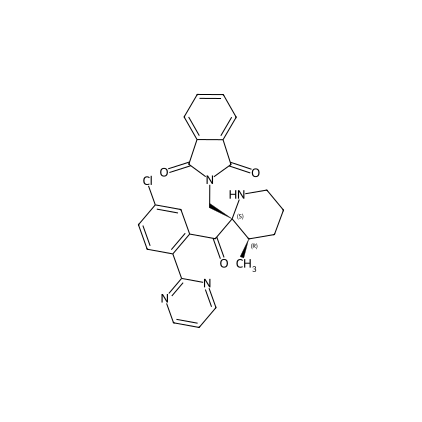 C[C@@H]1CCCN[C@@]1(CN1C(=O)c2ccccc2C1=O)C(=O)c1cc(Cl)ccc1-c1ncccn1